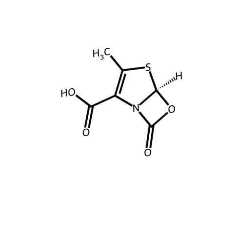 CC1=C(C(=O)O)N2C(=O)O[C@@H]2S1